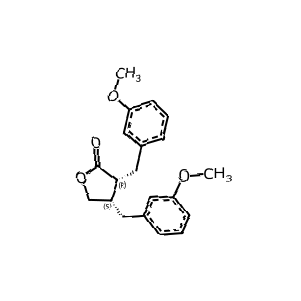 COc1cccc(C[C@@H]2COC(=O)[C@@H]2Cc2cccc(OC)c2)c1